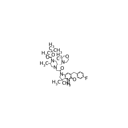 C[C@@H]1COCCN1C[C@H]1CN(C(=O)OC(C)(C)C)[C@H](C)CN1CC(=O)N1CC(C)(C)c2[nH]c(=O)c(Cc3ccc(F)cc3)cc21